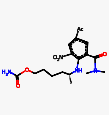 CC(=O)c1cc(C(=O)N(C)C)c(N[C@H](C)CCCCOC(N)=O)c([N+](=O)[O-])c1